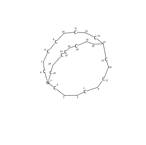 C1CCCCN2CCCCCCCCC(CCC1)CCCCCCCC2